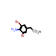 Nc1c(Br)cc(CC(=O)O)cc1Br